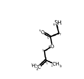 C=C(C)COC(=O)CS